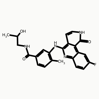 Cc1ccc(C(=O)NCC(C)O)cc1Nc1nc2ccc(F)cc2c2c(=O)[nH]ccc12